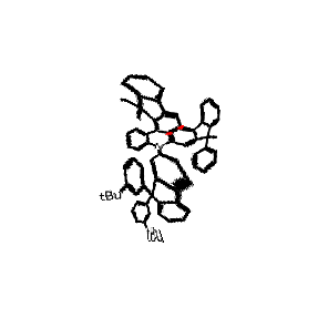 CC(C)(C)c1cccc(C2(c3cccc(C(C)(C)C)c3)c3ccccc3-c3ccc(N(c4ccc5c(c4)C(C)(c4ccccc4)c4ccccc4-5)c4ccccc4-c4cccc5c4C(C)(C)c4ccccc4-5)cc32)c1